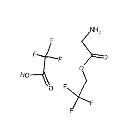 NCC(=O)OCC(F)(F)F.O=C(O)C(F)(F)F